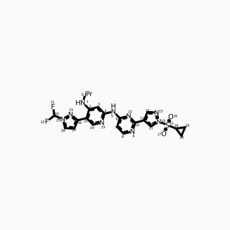 CC(C)Nc1cc(Nc2ccnc(-c3cnn(S(=O)(=O)C4CC4)c3)n2)ncc1-c1ccn(C(F)F)n1